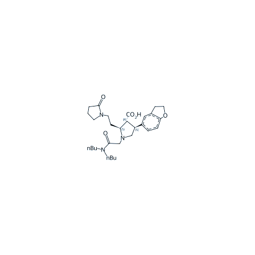 CCCCN(CCCC)C(=O)CN1C[C@H](c2ccc3c(c2)CCO3)[C@@H](C(=O)O)[C@@H]1CCN1CCCC1=O